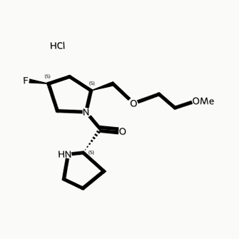 COCCOC[C@@H]1C[C@H](F)CN1C(=O)[C@@H]1CCCN1.Cl